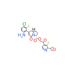 Nc1ccc(Cl)c(F)c1C1=CC(=O)N2[C@@H](CC[C@@H]2C(=O)OCC(=O)c2ccnc(C3COC3)c2F)C1